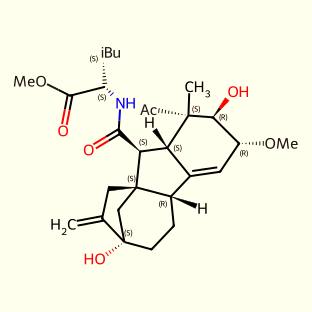 C=C1C[C@]23C[C@@]1(O)CC[C@H]2C1=C[C@@H](OC)[C@H](O)[C@@](C)(C(C)=O)[C@H]1[C@@H]3C(=O)N[C@H](C(=O)OC)[C@@H](C)CC